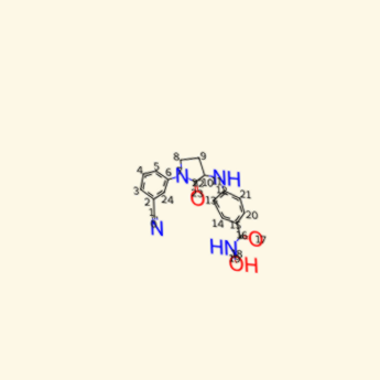 N#Cc1cccc(N2CCC(Nc3ccc(C(=O)NO)cc3)C2=O)c1